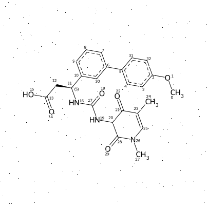 COc1ccc(-c2cccc([C@H](CC(=O)O)NC(=O)NC3C(=O)C(C)=CN(C)C3=O)c2)cc1